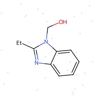 CCc1nc2ccccc2n1CO